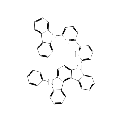 c1ccc(-n2c3ccccc3c3c4c5ccccc5n(-c5cccc(-c6cccc(-n7c8ccccc8c8ccccc87)n6)n5)c4ccc32)cc1